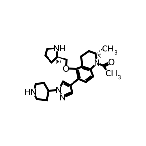 CC(=O)N1c2ccc(-c3cnn(C4CCNCC4)c3)c(OC[C@H]3CCCN3)c2CC[C@@H]1C